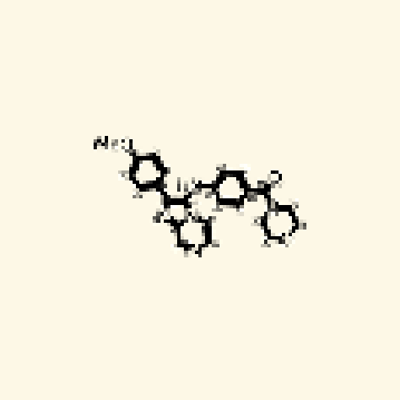 COc1ccc(-c2nc3cnccn3c2Nc2ccc(C(=O)N3CCOCC3)cc2)cc1